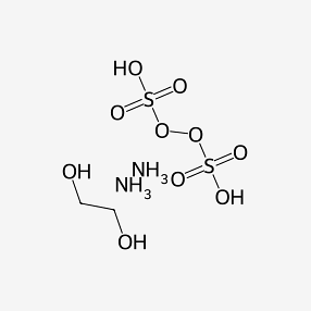 N.N.O=S(=O)(O)OOS(=O)(=O)O.OCCO